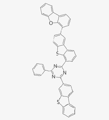 c1ccc(-c2nc(-c3ccc4c(c3)sc3ccccc34)nc(-c3cccc4c3sc3ccc(-c5cccc6c5oc5ccccc56)cc34)n2)cc1